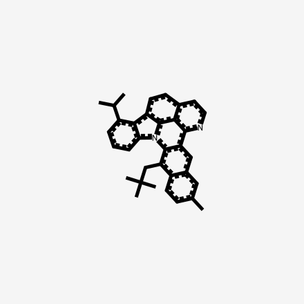 Cc1ccc2c(CC(C)(C)C)c3c(cc2c1)c1nccc2ccc4c5c(C(C)C)cccc5n3c4c21